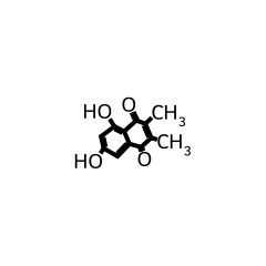 CC1=C(C)C(=O)c2c(O)cc(O)cc2C1=O